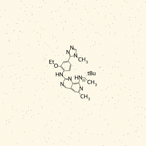 CCOc1cc(-c2nncn2C)ccc1Nc1ncc2cc(C)nc(N[C@@H](C)C(C)(C)C)c2n1